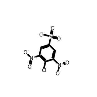 O=[N+]([O-])c1cc(S(=O)(=O)Cl)cc([N+](=O)[O-])c1Cl